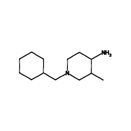 CC1CN(CC2CCCCC2)CCC1N